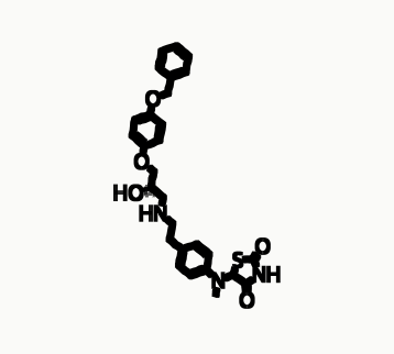 CN(c1ccc(CCNC[C@H](O)COc2ccc(OCc3ccccc3)cc2)cc1)C1SC(=O)NC1=O